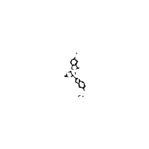 COc1ccc2c(c1)C(=O)N(C[C@@]1(c3cc4cc(NS(C)(=O)=O)ccc4o3)NC(=O)NC1=O)C2